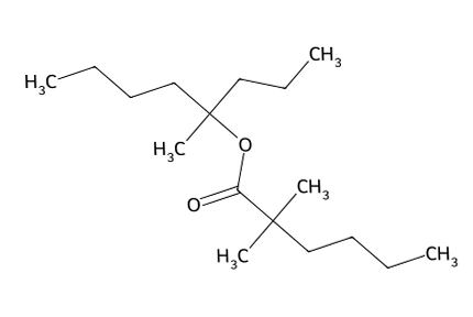 CCCCC(C)(CCC)OC(=O)C(C)(C)CCCC